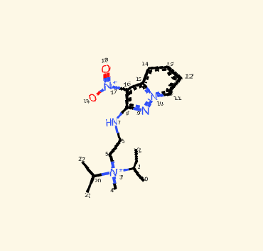 CC(C)[N+](C)(CCNc1nn2ccccc2c1[N+](=O)[O-])C(C)C